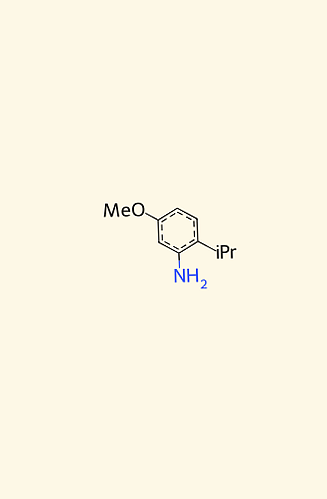 COc1ccc(C(C)C)c(N)c1